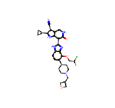 N#Cc1c(C2CC2)[nH]c2c(-c3nc4c(OCC(F)F)c(C5CCN(CC6COC6)CC5)ccc4[nH]3)c(=O)[nH]cc12